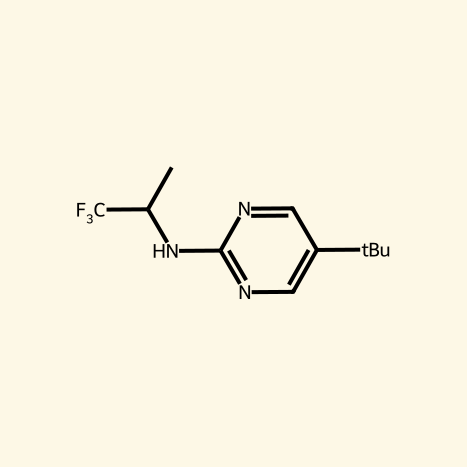 CC(Nc1ncc(C(C)(C)C)cn1)C(F)(F)F